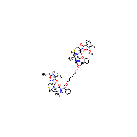 C[C@@H](C(=O)N[C@H]1CCS[C@H]2CC(C)(C)[C@@H](C(=O)N[C@H](COCCCCCCCCOC[C@@H](NC(=O)[C@H]3N4C(=O)[C@@H](NC(=O)[C@H](C)N(C)C(=O)OC(C)(C)C)CCS[C@H]4CC3(C)C)c3ccccc3)c3ccccc3)N2C1=O)N(C)C(=O)OC(C)(C)C